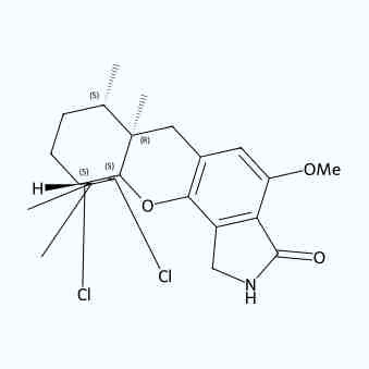 COc1cc2c(c3c1C(=O)NC3)O[C@@]13CC(Cl)C(Cl)C(C)(C)[C@@H]1CC[C@H](C)[C@@]3(C)C2